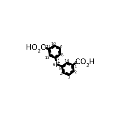 O=C(O)c1cccc([I+]c2cccc(C(=O)O)c2)c1